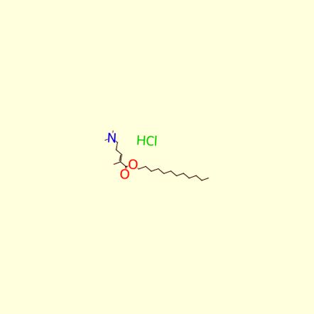 CCCCCCCCCCCCOC(=O)C(C)=CCCN(C)C.Cl